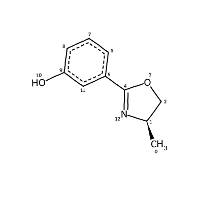 C[C@@H]1COC(c2cccc(O)c2)=N1